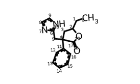 CCC1CC(Cc2ncc[nH]2)(c2ccccc2)C(=O)O1